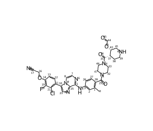 Cc1cc(Nc2nccn3c(-c4ccc(OCC#N)c(F)c4Cl)cnc23)ccc1C(=O)N1CCN(C(=O)[C@H]2CCNC[C@H]2OC=O)CC1